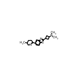 CC1CCC(c2ccc3sc(C4CC(N(C)C)C4)nc3c2)=NC1